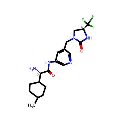 CC1CCC([C@H](N)C(=O)Nc2cncc(CN3C[C@@H](C(F)(F)F)NC3=O)c2)CC1